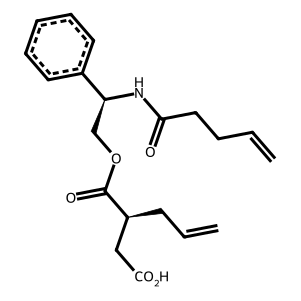 C=CCCC(=O)N[C@@H](COC(=O)[C@@H](CC=C)CC(=O)O)c1ccccc1